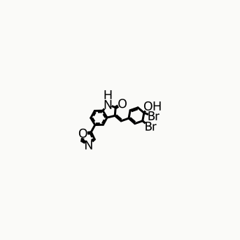 O=C1Nc2ccc(-c3cnco3)cc2C1=CC1=CC(Br)C(O)(Br)C=C1